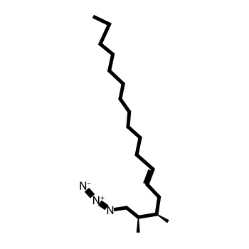 CCCCCCCCCCCC=CC[C@@H](C)[C@@H](C)CN=[N+]=[N-]